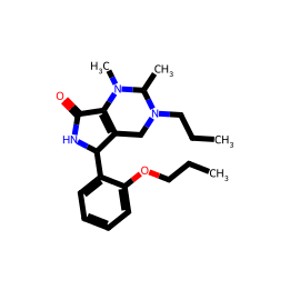 CCCOc1ccccc1C1NC(=O)C2=C1CN(CCC)C(C)N2C